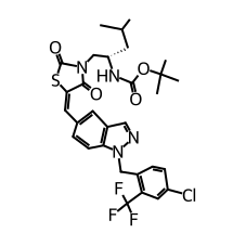 CC(C)C[C@@H](CN1C(=O)SC(=Cc2ccc3c(cnn3Cc3ccc(Cl)cc3C(F)(F)F)c2)C1=O)NC(=O)OC(C)(C)C